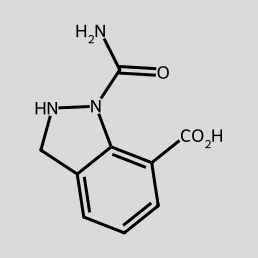 NC(=O)N1NCc2cccc(C(=O)O)c21